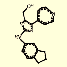 OCc1sc(Nc2ccc3c(c2)CCC3)nc1-c1ccncc1